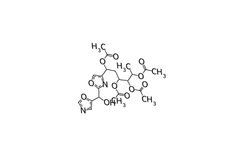 CC(=O)OC(CC(OC(C)=O)C(OC(C)=O)C(C)OC(C)=O)c1coc(C(O)c2cnco2)n1